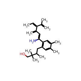 C=C(C)/C(=C/C)C(=C)/C=C(\N)c1cc(C)c(C)cc1CC(C)C(C)(C)CO